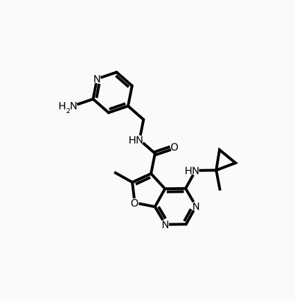 Cc1oc2ncnc(NC3(C)CC3)c2c1C(=O)NCc1ccnc(N)c1